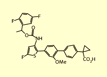 COc1cc(-c2sc(F)cc2NC(=O)OC(C)c2cc(F)ccc2F)ccc1-c1ccc(C2(C(=O)O)CC2)cc1